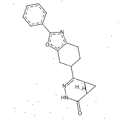 O=C1NN=C(C2CCc3nc(-c4ccccc4)oc3C2)[C@H]2C[C@@H]12